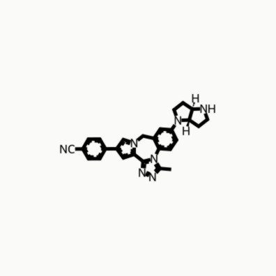 Cc1nnc2n1-c1ccc(N3CC[C@H]4NCC[C@@H]43)cc1Cn1cc(-c3ccc(C#N)cc3)cc1-2